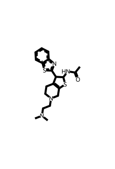 CC(=O)NC1SC2=C(CCN(CCN(C)C)C2)C1c1nc2ccccc2s1